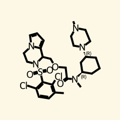 Cc1ccc(Cl)c(S(=O)(=O)N2CCn3cccc3C2COCC(=O)N(C)[C@@H]2CCC[C@@H](N3CCN(C)CC3)C2)c1Cl